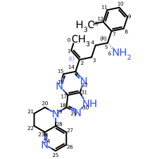 C/C=C(\CC[C@@H](N)c1ccccc1C)c1cnc2c(N3CCCc4ncccc43)n[nH]c2n1